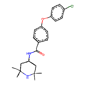 CC1(C)CC(NC(=O)c2ccc(Oc3ccc(Cl)cc3)cc2)CC(C)(C)N1